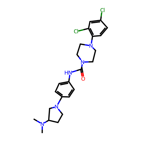 CN(C)C1CCN(c2ccc(NC(=O)N3CCN(c4ccc(Cl)cc4Cl)CC3)cc2)C1